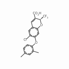 Cc1ccc(Oc2cc3c(cc2Cl)C=C(C(=O)O)[C@@H](C(F)(F)F)O3)c(C)c1